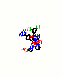 C[C@@]1(Cc2ccc(-c3cncnc3)cc2)C(=O)N(c2cc(Cl)cc(Cl)c2)c2ncc(S(=O)(=O)N3CCC[C@H]3C(=O)N3CC[C@H](O)C3)n21